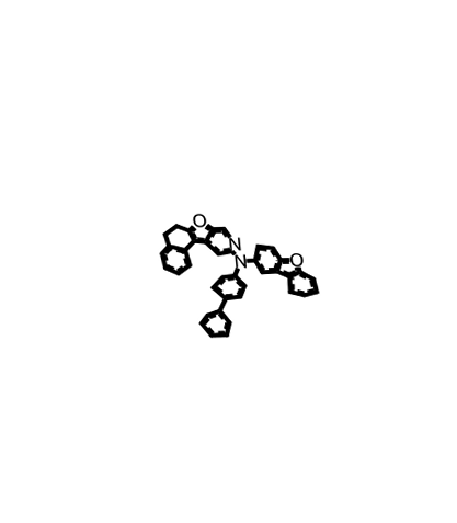 c1ccc(-c2ccc(N(c3ccc4oc5ccccc5c4c3)c3cc4c5c(oc4cn3)CCc3ccccc3-5)cc2)cc1